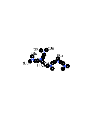 CC(C)(C)c1ccc(N(c2ccc(C(C)(C)C)cc2)c2ccc3cc4c5cc(C(C)(C)Cc6ccc(N(c7ccccc7)c7ccc8cc9c%10cc(C(C)(C)C)cc%11c%12cc%13ccc(N(c%14ccccc%14)c%14ccccc%14)cc%13cc%12n(c9cc8c7)c%11%10)cc6)cc6c7cc8ccc(N(c9ccc(C(C)(C)C)cc9)c9ccc(C(C)(C)C)cc9)cc8cc7n(c4cc3c2)c56)cc1